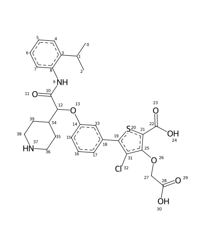 CC(C)c1ccccc1NC(=O)C(Oc1cccc(-c2sc(C(=O)O)c(OCC(=O)O)c2Cl)c1)C1CCNCC1